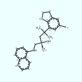 CC(C)(C[C@](O)(CNc1cccc2ncccc12)C(F)(F)F)c1cc(F)cc2c1OCC2